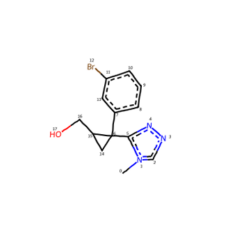 Cn1cnnc1C1(c2cccc(Br)c2)CC1CO